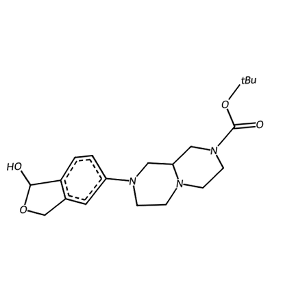 CC(C)(C)OC(=O)N1CCN2CCN(c3ccc4c(c3)COC4O)CC2C1